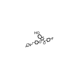 C[C@H]1CCN(CCc2ccc(Oc3c(C(=O)c4ccc(F)cc4)sc4cc(O)ccc34)cc2)C1